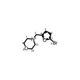 Brc1ccc(CN2CCOCC2)o1